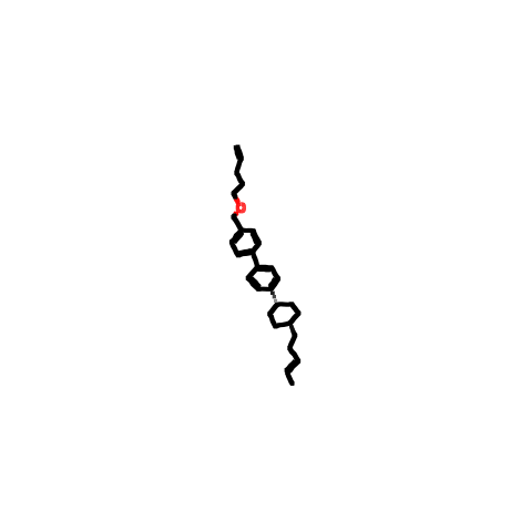 C=CCCCOCc1ccc(-c2ccc([C@H]3CC[C@H](CCC=CC)CC3)cc2)cc1